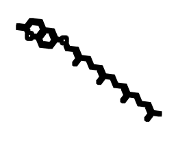 C=C1C=Cc2cc(OC/C=C(\C)CC/C=C(\C)CC/C=C(\C)CCC=C(C)C)ccc2O1